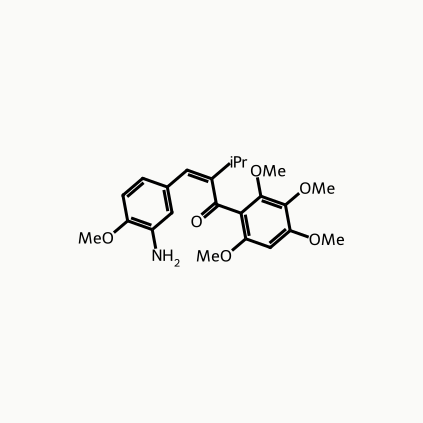 COc1ccc(C=C(C(=O)c2c(OC)cc(OC)c(OC)c2OC)C(C)C)cc1N